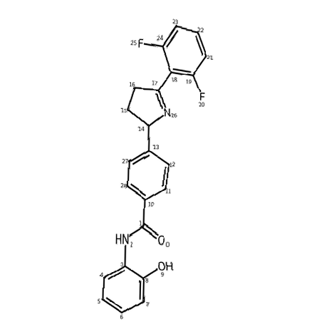 O=C(Nc1ccccc1O)c1ccc(C2CCC(c3c(F)cccc3F)=N2)cc1